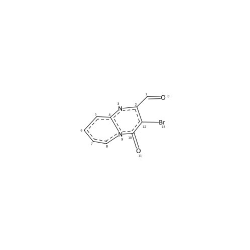 O=Cc1nc2ccccn2c(=O)c1Br